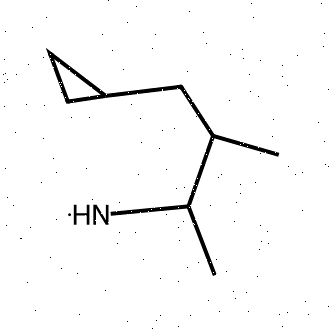 CC([NH])C(C)CC1CC1